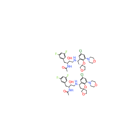 CC(=O)N[C@@H](Cc1cc(F)cc(F)c1)[C@H](O)CN[C@H]1C[C@@]2(CCOC2)Oc2c1cc(Cl)cc2N1CCOCC1.CC(=O)N[C@@H](Cc1cc(F)cc(F)c1)[C@H](O)CN[C@H]1C[C@]2(CCOC2)Oc2c1cc(Cl)cc2N1CCOCC1